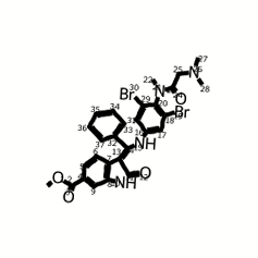 COC(=O)c1ccc2c(c1)NC(=O)/C2=C(\Nc1cc(Br)c(N(C)C(=O)CN(C)C)c(Br)c1)c1ccccc1